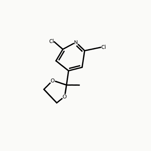 CC1(c2cc(Cl)nc(Cl)c2)OCCO1